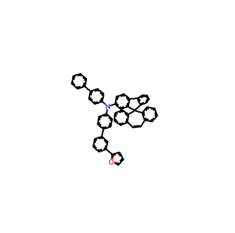 C1=Cc2ccccc2C2(c3ccccc31)c1ccccc1-c1ccc(N(c3ccc(-c4ccccc4)cc3)c3ccc(-c4cccc(-c5ccco5)c4)cc3)cc12